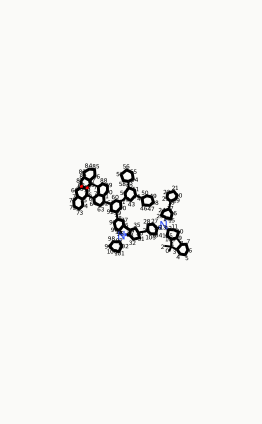 CC1(C)c2ccccc2-c2ccc(N(c3ccc(-c4ccccc4)cc3)c3ccc(-c4ccc5c(c4)c4cc(-c6cc(-c7cc(-c8ccccc8)cc(-c8ccccc8)c7)cc(-c7ccc(-c8cccc9ccccc89)c8c(-c9cccc%10ccccc9%10)cccc78)c6)ccc4n5-c4ccccc4)cc3)cc21